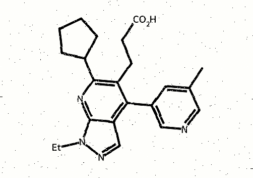 CCn1ncc2c(-c3cncc(C)c3)c(CCC(=O)O)c(C3CCCC3)nc21